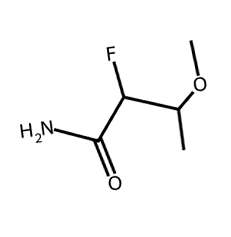 COC(C)C(F)C(N)=O